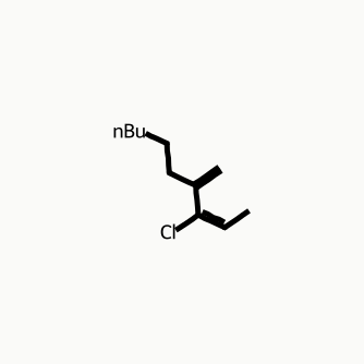 C=C(CCCCCC)/C(Cl)=C\C